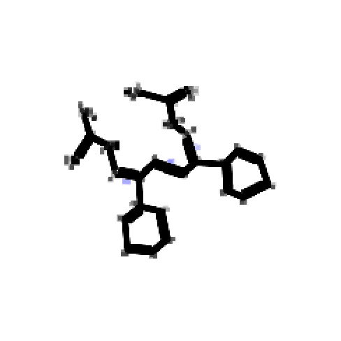 N=C(N)N\N=C(/C=C/C(=N\NC(=N)N)c1ccccc1)c1ccccc1